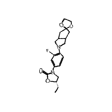 CC[C@H]1CN(c2ccc(N3CC4CC5(CC4C3)OCCO5)c(F)c2)C(=O)O1